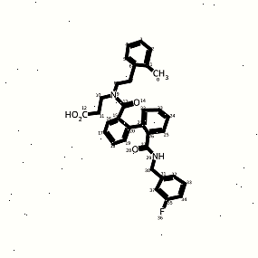 Cc1ccccc1CCN(CCC(=O)O)C(=O)c1ccccc1-c1ccccc1C(=O)NCc1cccc(F)c1